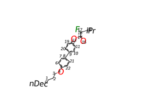 CCCCCCCCCCCCCOc1ccc(-c2ccc(OC(=O)C(F)C(C)C)cc2)cc1